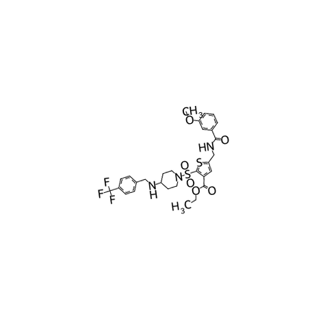 CCOC(=O)c1cc(CNC(=O)c2cccc(OC)c2)sc1S(=O)(=O)N1CCC(NCc2ccc(C(F)(F)F)cc2)CC1